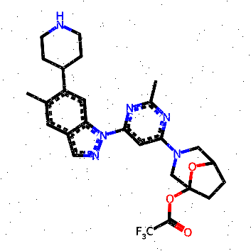 Cc1nc(N2CC3CCC(OC(=O)C(F)(F)F)(C2)O3)cc(-n2ncc3cc(C)c(C4CCNCC4)cc32)n1